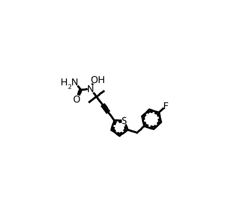 CC(C)(C#Cc1ccc(Cc2ccc(F)cc2)s1)N(O)C(N)=O